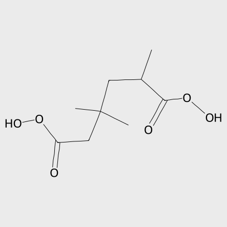 CC(CC(C)(C)CC(=O)OO)C(=O)OO